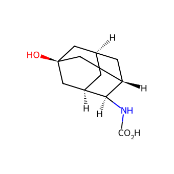 O=C(O)N[C@H]1[C@@H]2C[C@@H]3C[C@H]1C[C@@](O)(C3)C2